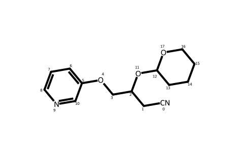 N#CCC(COc1cccnc1)OC1CCCCO1